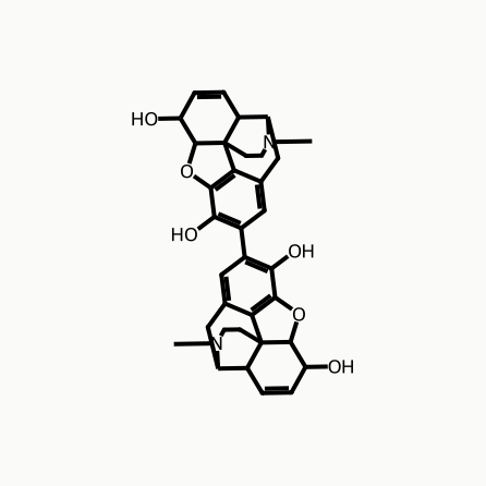 CN1CCC23c4c5cc(-c6cc7c8c(c6O)OC6C(O)C=CC9C(C7)N(C)CCC896)c(O)c4OC2C(O)C=CC3C1C5